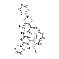 C[C@H](Nc1nc(N2CCOCC2)cc(-n2c(C(F)F)nc3ccccc32)n1)C(=O)N(C)C1CCN(c2ncccn2)CC1